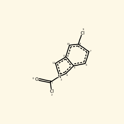 O=C(Cl)n1cc2ccc(Cl)cc2c1